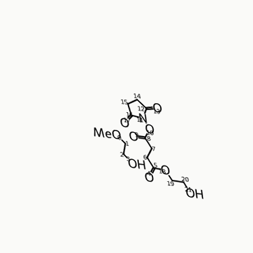 COCCO.O=C(CCC(=O)ON1C(=O)CCC1=O)OCCO